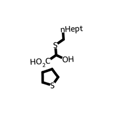 C1CCSC1.CCCCCCCCSC(O)C(=O)O